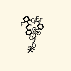 CC(=Cc1ccc2c(c1)N(S(=O)(=O)c1cccc(C(F)(F)F)c1)C[C@H](CCO[Si](C)(C)C(C)(C)C)O2)c1c(F)cccc1Cl